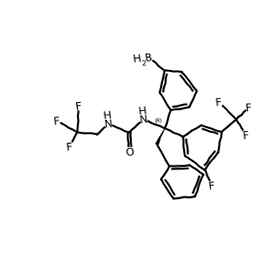 Bc1cccc([C@@](Cc2ccccc2)(NC(=O)NCC(F)(F)F)c2cc(F)cc(C(F)(F)F)c2)c1